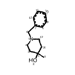 CC1(O)CCN(Cc2cc[c]cc2)CC1